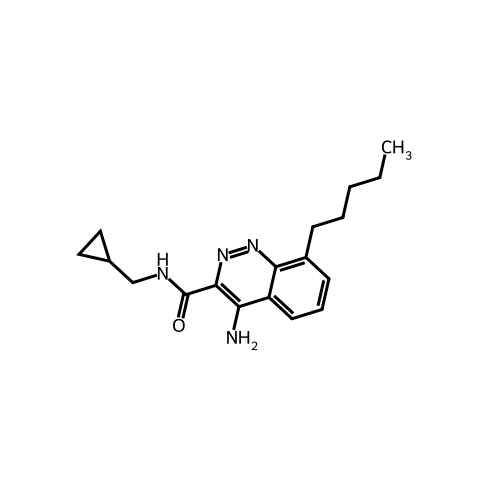 CCCCCc1cccc2c(N)c(C(=O)NCC3CC3)nnc12